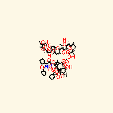 CC(=O)O[C@H]1C(=O)[C@@]2(C)[C@H]([C@H](OC(=O)c3ccccc3)[C@]3(O)C[C@H](OC(=O)[C@H](O)[C@@H](NC(=O)c4ccccc4)c4ccccc4)C(C)=C1C3(C)C)[C@]1(OC(C)=O)CO[C@@H]1C[C@@H]2O.CC[C@@H](C(=O)[C@@H](C)[C@@H](O)[C@H](C)[C@@H]1O[C@@H]([C@@H](CC)C(=O)O)CC[C@@H]1C)[C@H]1O[C@]2(C=C[C@@H](O)[C@]3(CC[C@@](C)([C@H]4CC[C@](O)(CC)[C@H](C)O4)O3)O2)[C@H](C)C[C@@H]1C